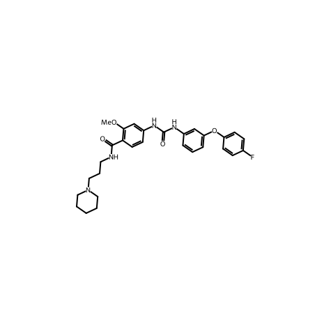 COc1cc(NC(=O)Nc2cccc(Oc3ccc(F)cc3)c2)ccc1C(=O)NCCCN1CCCCC1